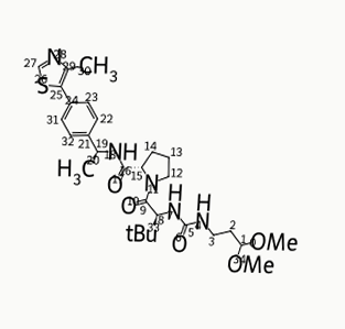 COC(CCNC(=O)N[C@H](C(=O)N1CCC[C@H]1C(=O)N[C@@H](C)c1ccc(-c2scnc2C)cc1)C(C)(C)C)OC